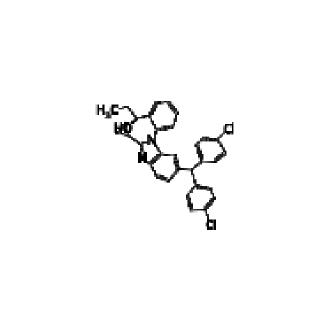 CC[C@H](O)c1ccccc1-n1c(C2CC2)nc2ccc(C(c3ccc(Cl)cc3)c3ccc(Cl)cc3)cc21